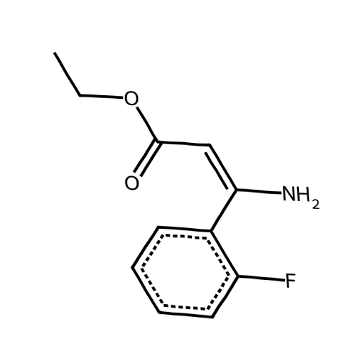 CCOC(=O)/C=C(/N)c1ccccc1F